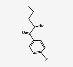 CCCC(Br)C(=O)c1ccc(F)cc1